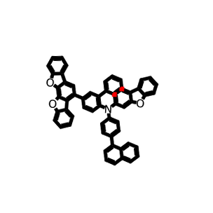 c1ccc(-c2cc(-c3cc4c5ccccc5oc4c4oc5ccccc5c34)ccc2N(c2ccc(-c3cccc4ccccc34)cc2)c2ccc3c(c2)oc2ccccc23)cc1